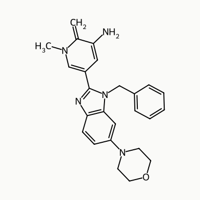 C=C1C(N)=CC(c2nc3ccc(N4CCOCC4)cc3n2Cc2ccccc2)=CN1C